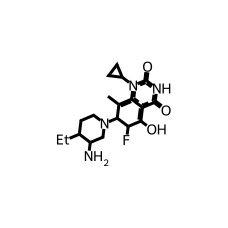 CCC1CCN(C2C(C)=c3c(c(=O)[nH]c(=O)n3C3CC3)=C(O)C2F)CC1N